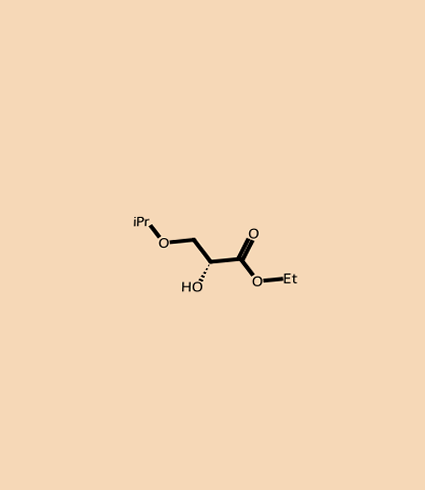 CCOC(=O)[C@H](O)COC(C)C